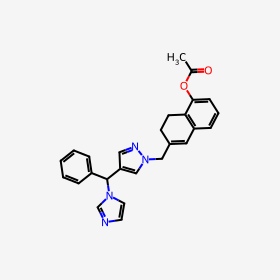 CC(=O)Oc1cccc2c1CCC(Cn1cc(C(c3ccccc3)n3ccnc3)cn1)=C2